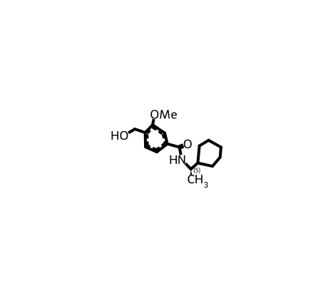 COc1cc(C(=O)N[C@@H](C)C2CCCCC2)ccc1CO